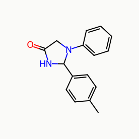 Cc1ccc(C2NC(=O)CN2c2ccccc2)cc1